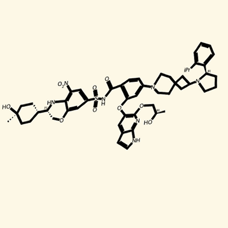 CC(C)c1ccccc1[C@H]1CCCN1C1CC2(CCN(c3ccc(C(=O)NS(=O)(=O)c4cc5c(c([N+](=O)[O-])c4)N[C@@H]([C@H]4CC[C@](C)(O)CC4)CO5)c(Oc4cc5cc[nH]c5nc4OC[C@@H](C)O)c3)CC2)C1